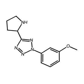 COc1cccc(-n2nnc(C3CCCN3)n2)c1